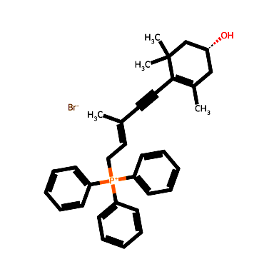 CC1=C(C#C/C(C)=C/C[P+](c2ccccc2)(c2ccccc2)c2ccccc2)C(C)(C)C[C@H](O)C1.[Br-]